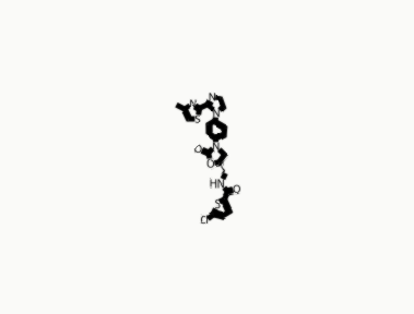 Cc1csc(C2=NCCN2c2ccc(N3C[C@H](CNC(=O)c4ccc(Cl)s4)OC3=O)cc2)n1